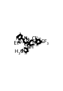 CCOc1ncccc1-c1ccc(C2(C(=O)N[C@H]3CCN(C)C3)CCN(c3ccc(C(F)(F)F)cc3Cl)CC2)nn1